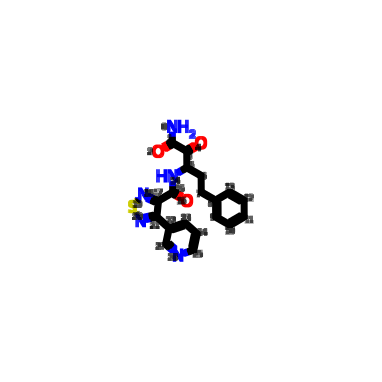 NC(=O)C(=O)C(CCc1ccccc1)NC(=O)c1nsnc1-c1cccnc1